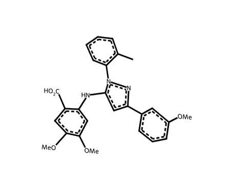 COc1cccc(-c2cc(Nc3cc(OC)c(OC)cc3C(=O)O)n(-c3ccccc3C)n2)c1